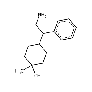 CC1(C)CCC(C(CN)c2ccccc2)CC1